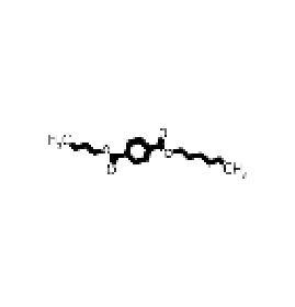 CCCCCCOC(=O)C1CCC(C(=O)OCCCC)CC1